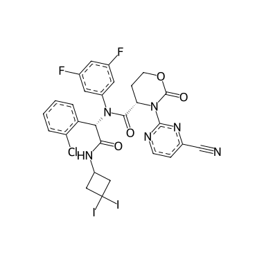 N#Cc1ccnc(N2C(=O)OCC[C@H]2C(=O)N(c2cc(F)cc(F)c2)[C@H](C(=O)NC2CC(I)(I)C2)c2ccccc2Cl)n1